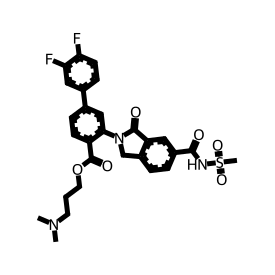 CN(C)CCCOC(=O)c1ccc(-c2ccc(F)c(F)c2)cc1N1Cc2ccc(C(=O)NS(C)(=O)=O)cc2C1=O